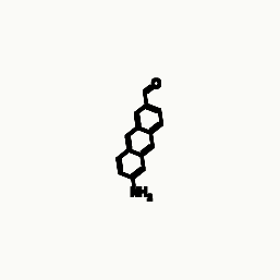 Nc1ccc2cc3cc(C=O)ccc3cc2c1